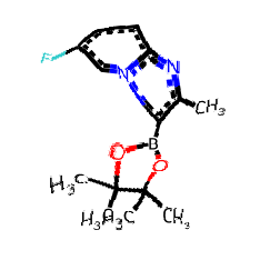 Cc1nc2ccc(F)cn2c1B1OC(C)(C)C(C)(C)O1